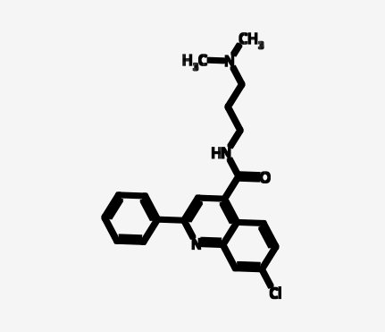 CN(C)CCCNC(=O)c1cc(-c2ccccc2)nc2cc(Cl)ccc12